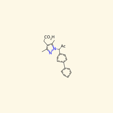 CC(=O)C(c1ccc(-c2ccccc2)cc1)n1nc(C)c(CC(=O)O)c1C